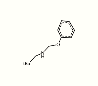 CC(C)(C)CNCOc1ccccc1